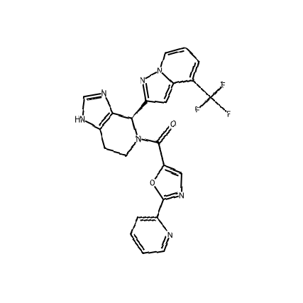 O=C(c1cnc(-c2ccccn2)o1)N1CCc2[nH]cnc2[C@H]1c1cc2c(C(F)(F)F)cccn2n1